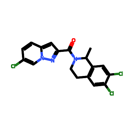 CC1c2cc(Cl)c(Cl)cc2CCN1C(=O)c1cc2ccc(Cl)cn2n1